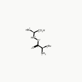 CCCC[C@@H](N)C(=O)ON[C@@H](CCCC)C(=O)O